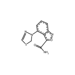 NC(=O)c1onc2cccc(N3CSC=N3)c12